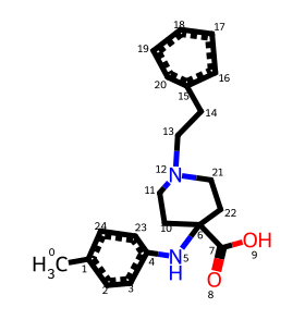 Cc1ccc(NC2(C(=O)O)CCN(CCc3ccccc3)CC2)cc1